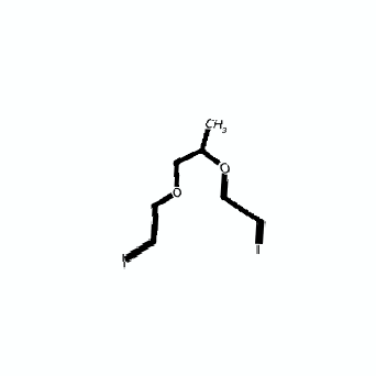 CC(COCCI)OCCI